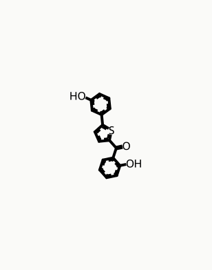 O=C(c1ccc(-c2cccc(O)c2)s1)c1ccccc1O